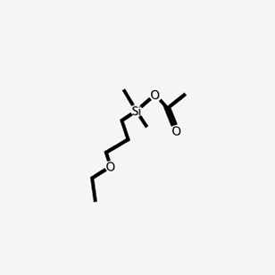 CCOCCC[Si](C)(C)OC(C)=O